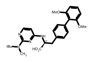 COc1cccc(OC)c1-c1ccc(C[C@H](Nc2ccnc(N(C)C(C)(C)C)n2)C(=O)O)cc1